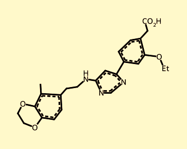 CCOc1cc(-c2cc(NCCc3ccc4c(c3C)OCCO4)ncn2)ccc1CC(=O)O